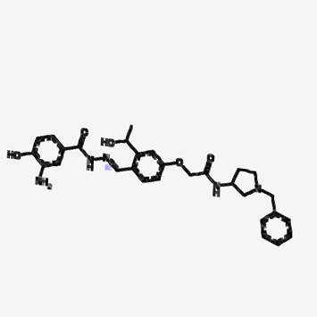 CC(O)c1cc(OCC(=O)NC2CCN(Cc3ccccc3)C2)ccc1/C=N/NC(=O)c1ccc(O)c(N)c1